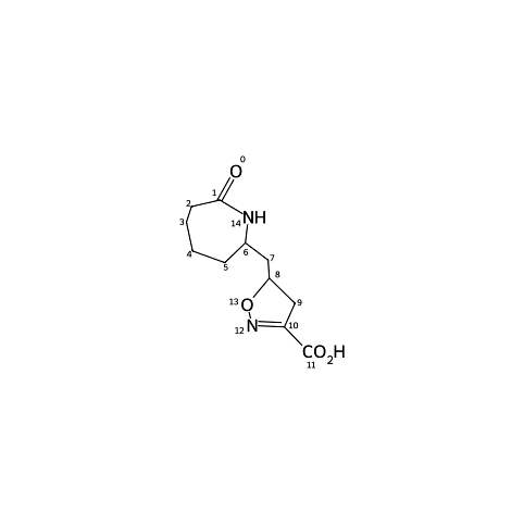 O=C1CCCCC(CC2CC(C(=O)O)=NO2)N1